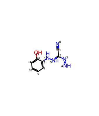 N#C/C(N=N)=N\Nc1ccccc1O